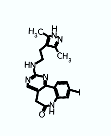 Cc1n[nH]c(C)c1CCNc1ncc2c(n1)-c1ccc(I)cc1NC(=O)C2